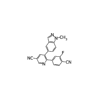 Cn1ncc2cc(-c3cc(C#N)cnc3-c3ccc(C#N)c(F)c3)ccc21